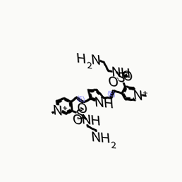 C[n+]1ccc(/C=C/c2ccc(/C=C/c3cc[n+](C)cc3S(=O)(=O)NCCN)[nH]2)c(S(=O)(=O)NCCN)c1